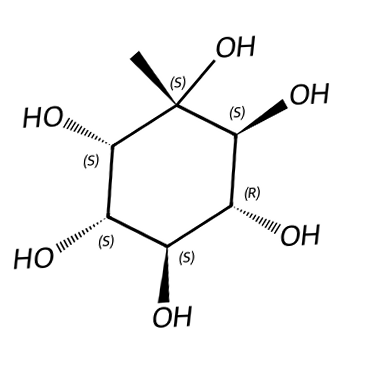 C[C@@]1(O)[C@@H](O)[C@H](O)[C@@H](O)[C@H](O)[C@@H]1O